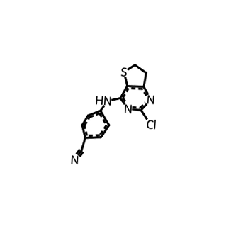 N#Cc1ccc(Nc2nc(Cl)nc3c2SCC3)cc1